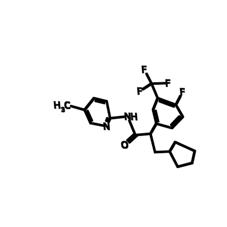 Cc1ccc(NC(=O)C(CC2CCCC2)c2ccc(F)c(C(F)(F)F)c2)nc1